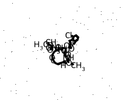 CCOC(=O)[C@@]12C[C@H]1/C=C\CCOCC[C@H](NC(=O)OC(C)(C)C)C(=O)N1C[C@H](OC(=O)N3Cc4cccc(Cl)c4C3)C[C@H]1C(=O)N2